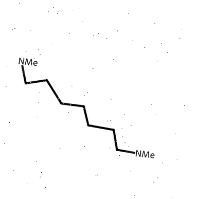 CNCCCCCCCNC